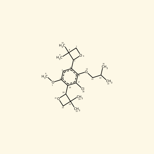 COc1cc(C2OCC2(C)C)c(OCC(C)C)c(Cl)c1C1OCC1(C)C